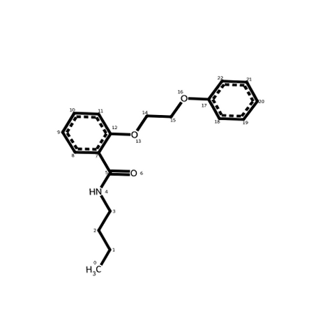 CCCCNC(=O)c1ccccc1OCCOc1ccccc1